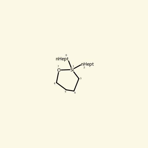 CCCCCCC[Si]1(CCCCCCC)CCCCO1